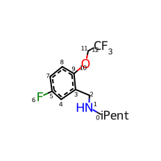 CCCC(C)NCc1cc(F)ccc1OCC(F)(F)F